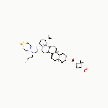 C=C(C)[C@@H]1CC[C@]2(NCC(CCSC)N3CCS(=O)(=O)CC3)CC[C@]3(C)[C@H](CC[C@@H]4[C@@]5(C)CC[C@H](OC(=O)[C@H]6C[C@@H](C(=O)O)C6(C)C)C(C)(C)[C@@H]5CC[C@]43C)[C@@H]12